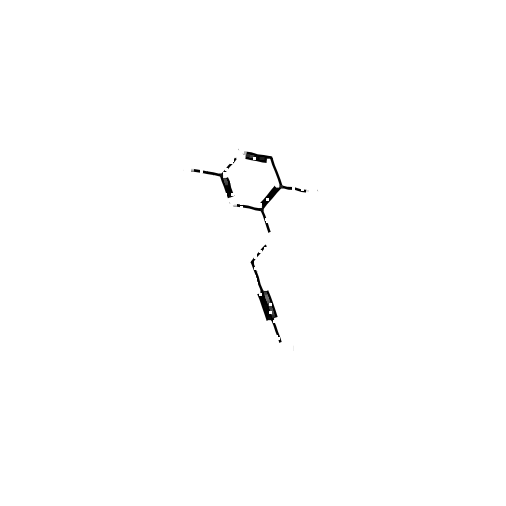 CC#CCOc1nc(Cl)ncc1C#N